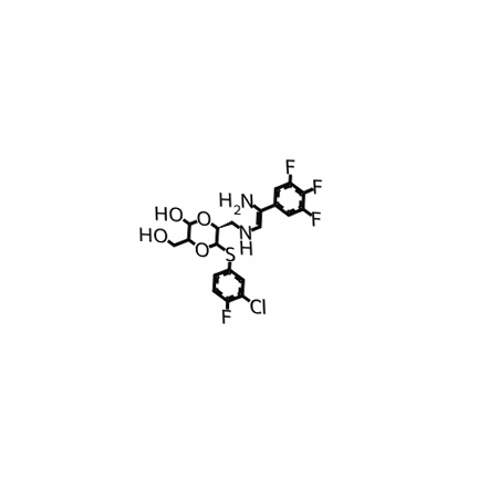 N/C(=C\NC[C@@H]1OC(O)C(CO)OC1Sc1ccc(F)c(Cl)c1)c1cc(F)c(F)c(F)c1